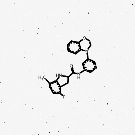 Cc1ccc(F)c2c1NC(C(=O)Nc1cccc(N3CCOc4ccccc43)c1)C2